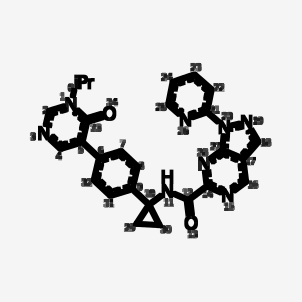 CC(C)n1cncc(-c2ccc(C3(NC(=O)c4ncc5cnn(-c6ccccn6)c5n4)CC3)cc2)c1=O